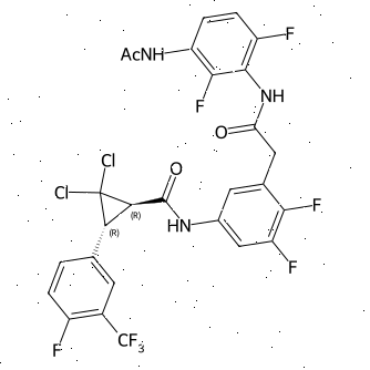 CC(=O)Nc1ccc(F)c(NC(=O)Cc2cc(NC(=O)[C@H]3[C@H](c4ccc(F)c(C(F)(F)F)c4)C3(Cl)Cl)cc(F)c2F)c1F